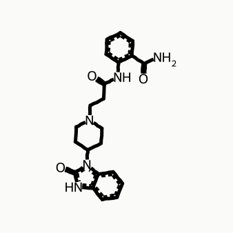 NC(=O)c1ccccc1NC(=O)CCN1CCC(n2c(=O)[nH]c3ccccc32)CC1